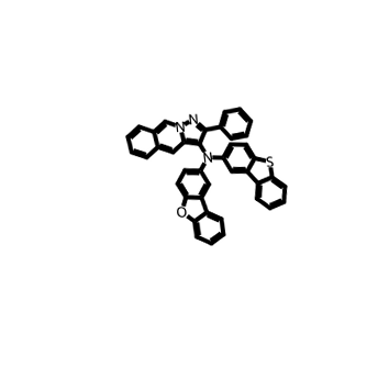 c1ccc(-c2nn3cc4ccccc4cc3c2N(c2ccc3oc4ccccc4c3c2)c2ccc3sc4ccccc4c3c2)cc1